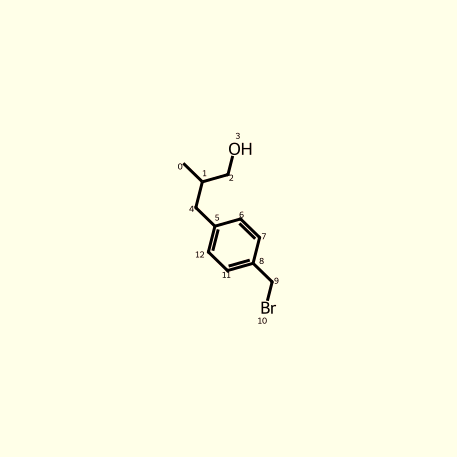 CC(CO)Cc1ccc(CBr)cc1